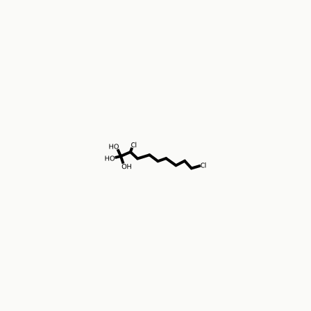 OC(O)(O)C(Cl)CCCCCCCCl